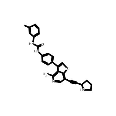 Cc1cccc(NC(=O)Nc2ccc(-c3csc4c(C#CC5CCCN5)cnc(N)c34)cc2)c1